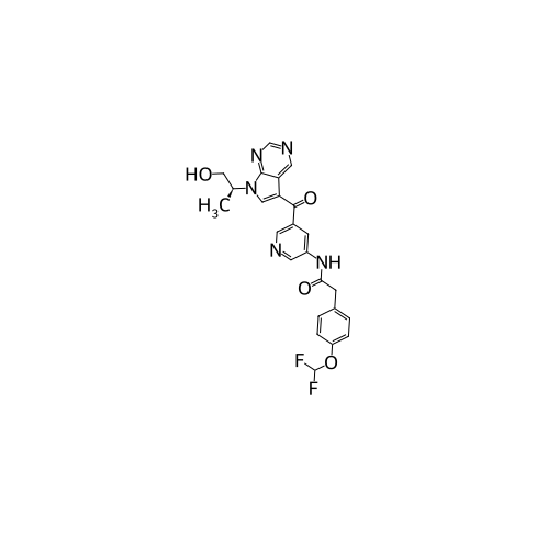 C[C@@H](CO)n1cc(C(=O)c2cncc(NC(=O)Cc3ccc(OC(F)F)cc3)c2)c2cncnc21